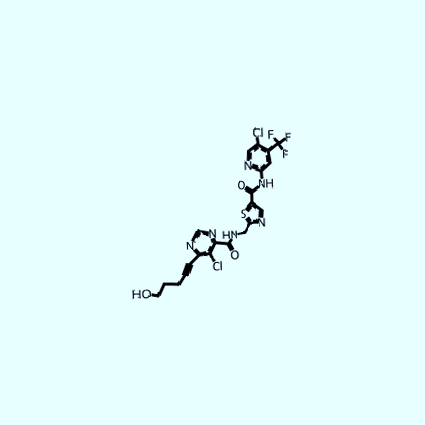 O=C(Nc1cc(C(F)(F)F)c(Cl)cn1)c1cnc(CNC(=O)c2ncnc(C#CCCCO)c2Cl)s1